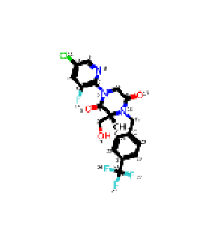 CC1(CO)C(=O)N(c2ncc(Cl)cc2F)CC(=O)N1Cc1ccc(C(F)(F)F)cc1